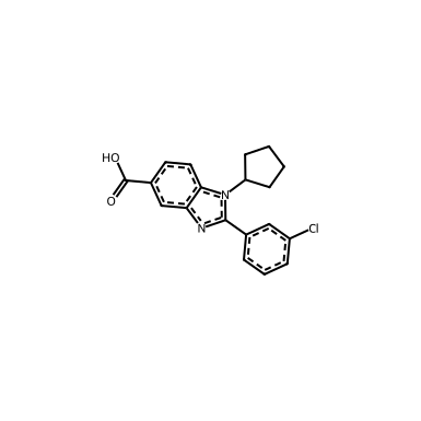 O=C(O)c1ccc2c(c1)nc(-c1cccc(Cl)c1)n2C1CCCC1